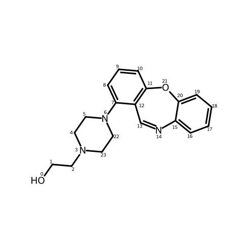 OCCN1CCN(c2cccc3c2C=Nc2ccccc2O3)CC1